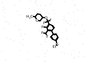 CCOc1ccc(-c2ccc(C(F)(F)OC3CCC(C)OC3)c(F)c2C(F)F)cc1